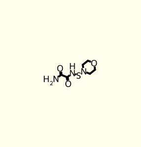 NC(=O)C(=O)NSN1CCOCC1